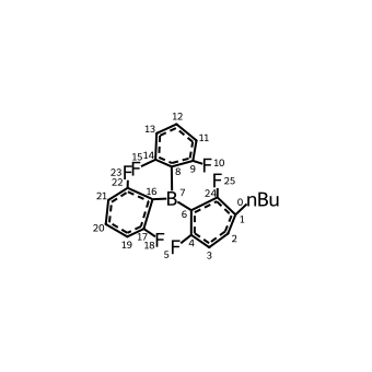 CCCCc1ccc(F)c(B(c2c(F)cccc2F)c2c(F)cccc2F)c1F